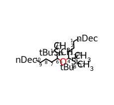 CCCCCCCCCCCCCC(OC(CCCCCCCCCCCCC)[Si](C)(C)C(C)(C)C)[Si](C)(C)C(C)(C)C